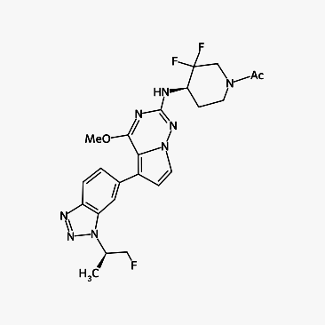 COc1nc(N[C@@H]2CCN(C(C)=O)CC2(F)F)nn2ccc(-c3ccc4nnn([C@H](C)CF)c4c3)c12